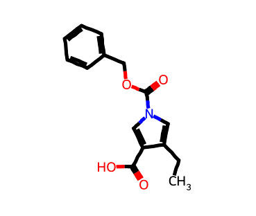 CCc1cn(C(=O)OCc2ccccc2)cc1C(=O)O